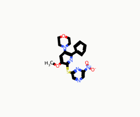 COc1cc(N2CCOCC2)c(-c2ccccc2)nc1Sc1cncc([N+](=O)[O-])n1